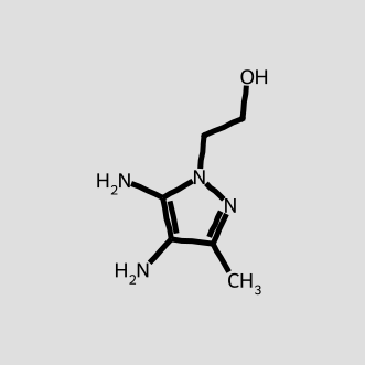 Cc1nn(CCO)c(N)c1N